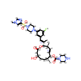 C/C(=C\c1cc(F)cc(N2CCN(S(=O)(=O)c3cn(C)cn3)CC2)c1)[C@H]1OC(=O)C[C@H](O)CC[C@H](C)[C@@H](OC(=O)N2CCNCC2)/C=C/[C@@H]1C